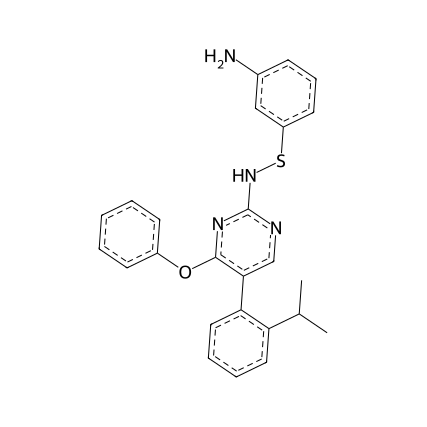 CC(C)c1ccccc1-c1cnc(NSc2cccc(N)c2)nc1Oc1ccccc1